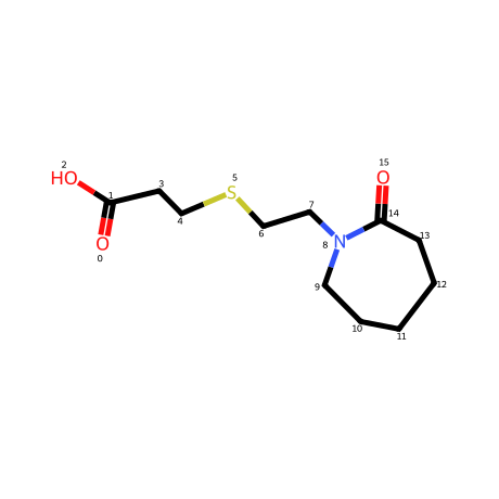 O=C(O)CCSCCN1CCCCCC1=O